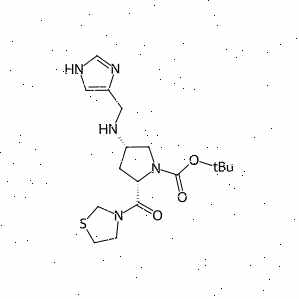 CC(C)(C)OC(=O)N1C[C@@H](NCc2c[nH]cn2)C[C@H]1C(=O)N1CCSC1